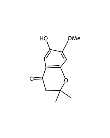 COc1cc2c(cc1O)C(=O)CC(C)(C)O2